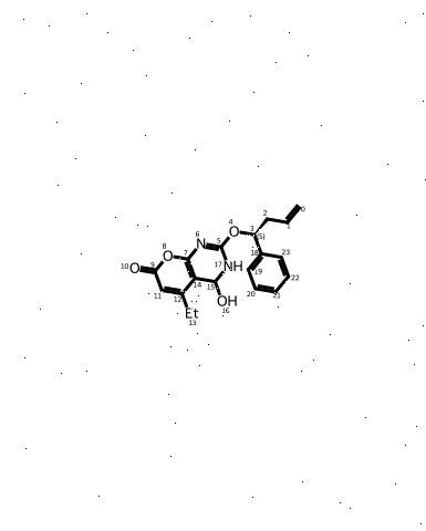 C=CC[C@H](OC1=Nc2oc(=O)cc(CC)c2C(O)N1)c1ccccc1